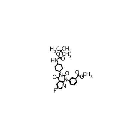 COC(=O)c1cccc(-n2c(=O)n(C3CCC(NC(=O)OC(C)(C)C)CC3)c(=O)c3cc(F)cnc32)c1